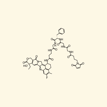 CC[C@@]1(O)C(=O)OCc2c1cc1n(c2=O)Cc2c-1nc1cc(F)c(C)c3c1c2[C@@H](NC(=O)CCNC(=O)CNC(=O)[C@H](Cc1ccccc1)NC(=O)CNC(=O)CNC(=O)CCCN1C(=O)C=CC1=O)CC3